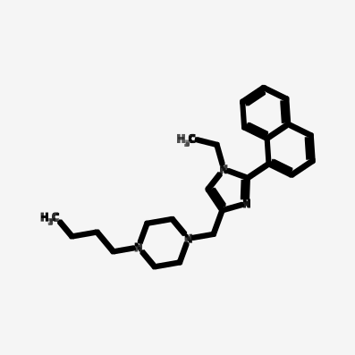 CCCCN1CCN(Cc2cn(CC)c(-c3cccc4ccccc34)n2)CC1